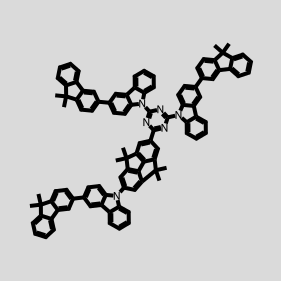 CC1(C)c2ccccc2-c2cc(-c3ccc4c(c3)c3ccccc3n4-c3cc4c5c(c3)C(C)(C)c3cc(-c6nc(-n7c8ccccc8c8cc(-c9ccc%10c(c9)-c9ccccc9C%10(C)C)ccc87)nc(-n7c8ccccc8c8cc(-c9ccc%10c(c9)-c9ccccc9C%10(C)C)ccc87)n6)cc(c3-5)C4(C)C)ccc21